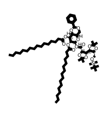 CCCCCCCCCCCCCCCC(=O)O[C@@H]1[C@H](OC(=O)CCCCCCCCCCCCCCC)[C@H](OC(O)[C@H]2OC(C)(C)O[C@H]2[C@@H]2OC(C)(C)O[C@@H]2CO[Si](C)(C)C(C)(C)C)O[C@@H]2COC(c3ccccc3)O[C@@H]12